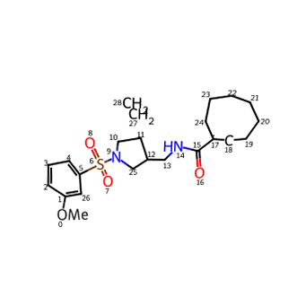 COc1cccc(S(=O)(=O)N2CCC(CNC(=O)[C]3CCCCCCC3)C2)c1.[CH2].[CH2]